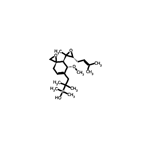 CO[C@@H]1C(CC(C)(C)[Si](C)(C)O)=CC[C@]2(CO2)[C@H]1C1(C)O[C@@H]1CC=C(C)C